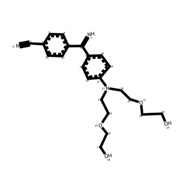 N#Cc1ccc(C(=N)c2ccc(N(CCOCCO)CCOCCO)cc2)cc1